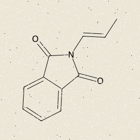 C/C=C/N1C(=O)c2ccccc2C1=O